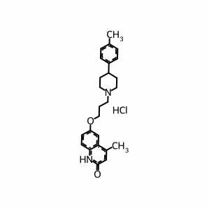 Cc1ccc(C2CCN(CCCOc3ccc4[nH]c(=O)cc(C)c4c3)CC2)cc1.Cl